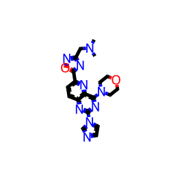 CN(C)Cc1noc(-c2ccc3nc(-n4ccnc4)nc(N4CCOCC4)c3n2)n1